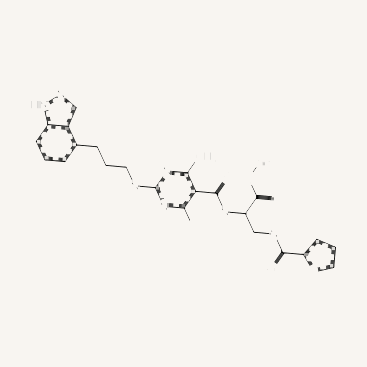 CCCCOC(=O)C(CNC(=O)c1cccs1)NC(=O)c1c(C)nc(NCCCc2cccc3[nH]ncc23)nc1C